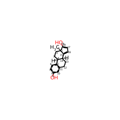 C[C@]12CC[C@@H]3c4ccc(O)cc4CC[C@H]3C1=CC=C2O